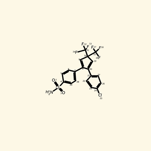 NS(=O)(=O)c1ccc(C2=CC(C(F)(F)F)(C(F)(F)F)C=C2c2ccc(Cl)cc2)cc1